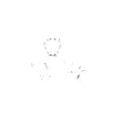 O=C(O)c1ccccc1O.O=S(=O)([O-])[O-].[Mg+2]